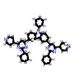 c1ccc(-c2nc(-c3ccncc3)cc(-c3ccc4c(c3)c3cc(-c5cc(-c6ccncc6)nc(-c6ccccc6)n5)ccc3n4-c3ccccc3)n2)cc1